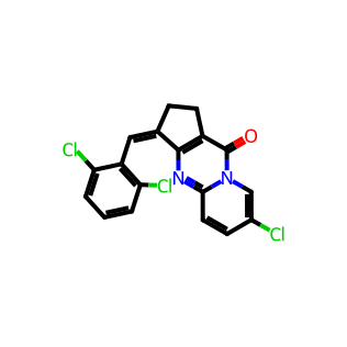 O=c1c2c(nc3ccc(Cl)cn13)/C(=C\c1c(Cl)cccc1Cl)CC2